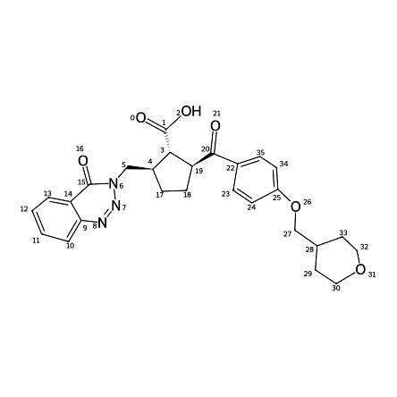 O=C(O)[C@H]1[C@H](Cn2nnc3ccccc3c2=O)CC[C@@H]1C(=O)c1ccc(OCC2CCOCC2)cc1